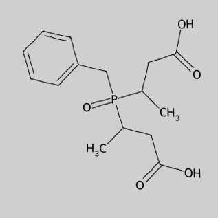 CC(CC(=O)O)P(=O)(Cc1ccccc1)C(C)CC(=O)O